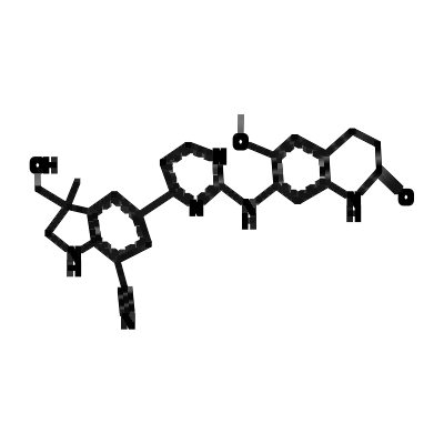 COc1cc2c(cc1Nc1nccc(-c3cc(C#N)c4c(c3)C(C)(CO)CN4)n1)NC(=O)CC2